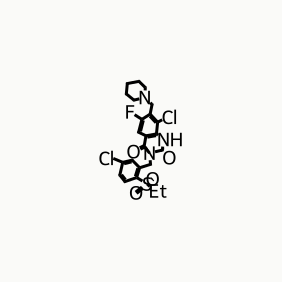 CCS(=O)(=O)c1ccc(Cl)cc1Cn1c(=O)[nH]c2c(Cl)c(CN3CCCCC3)c(F)cc2c1=O